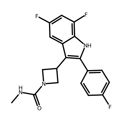 CNC(=O)N1CC(c2c(-c3ccc(F)cc3)[nH]c3c(F)cc(F)cc23)C1